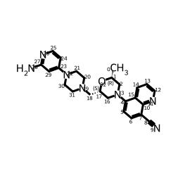 C[C@@H]1CN(c2ccc(C#N)c3ncccc23)C[C@H](CN2CCN(c3ccnc(N)c3)CC2)O1